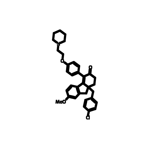 COc1ccc2c(c1)CC1(Cc3ccc(Cl)cc3)CCC(=O)C(c3ccc(OCCN4CCCCC4)cc3)=C21